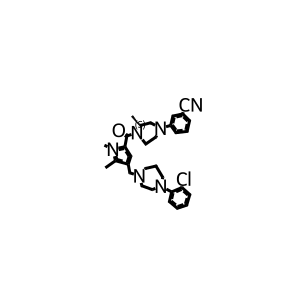 Cc1c(CN2CCCN(c3ccccc3Cl)CC2)cc(C(=O)N2CCN(c3cccc(C#N)c3)C[C@@H]2C)n1C